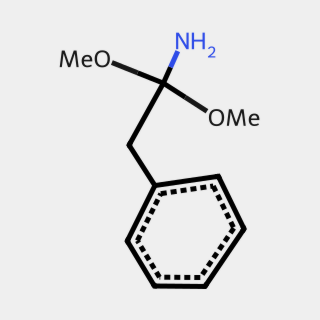 COC(N)(Cc1ccccc1)OC